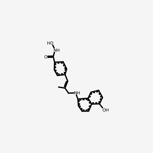 CC(=Cc1ccc(C(=O)NO)cc1)CNc1cccc2c(O)cccc12